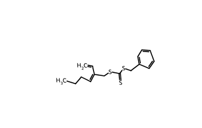 C=C/C(=C\CCC)CSC(=S)SCc1ccccc1